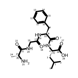 CC(C)C[C@H](NC(=O)[C@H](Cc1ccccc1)NC(=O)CNC(=O)[C@@H](C)N)C(=O)O